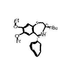 CCCC[C@@H]1CSc2cc(OCC)c(OCC)cc2[C@@H](c2ccccc2)N1